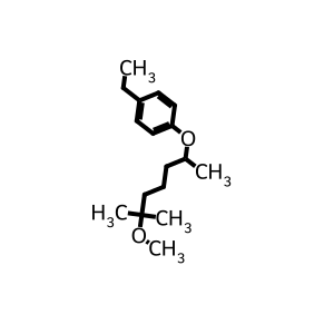 CCc1ccc(OC(C)CCCC(C)(C)OC)cc1